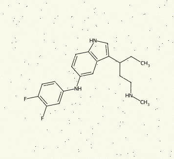 CCC(CCNC)c1c[nH]c2ccc(Nc3ccc(F)c(F)c3)cc12